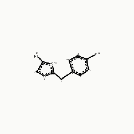 CC(C)c1cnc(Cc2ccc(F)cc2)s1